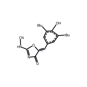 CC(C)(C)c1cc(/C=C2\OC(NC#N)=NC2=O)cc(C(C)(C)C)c1O